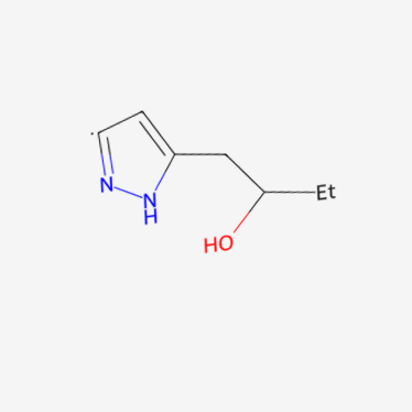 CCC(O)Cc1c[c]n[nH]1